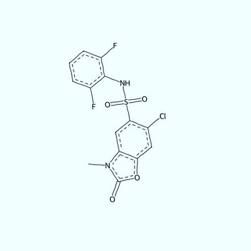 Cn1c(=O)oc2cc(Cl)c(S(=O)(=O)Nc3c(F)cccc3F)cc21